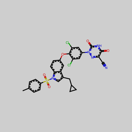 Cc1ccc(S(=O)(=O)n2cc(CC3CC3)c3cc(Oc4c(Cl)cc(-n5nc(C#N)c(=O)[nH]c5=O)cc4Cl)ccc32)cc1